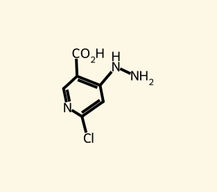 NNc1cc(Cl)ncc1C(=O)O